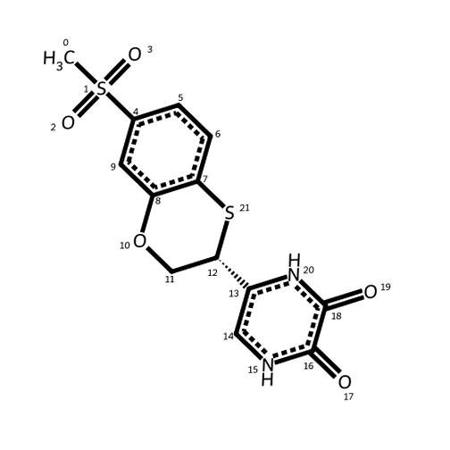 CS(=O)(=O)c1ccc2c(c1)OC[C@@H](c1c[nH]c(=O)c(=O)[nH]1)S2